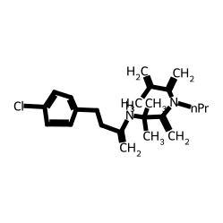 C=C(CCc1ccc(Cl)cc1)NC(C)(C)C(=C)N(CCC)C(=C)C(=C)C